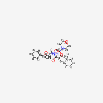 CC(C#N)(NC(=O)C(CC1CCCCC1(C)C)OC(=O)N1CCOCC1)OCc1ccccc1